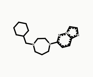 c1cn2nc(N3CCCN(CC4CCCCC4)CC3)ccc2n1